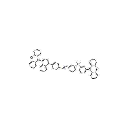 CC1(C)c2cc(/C=C/C3=CC=C(c4ccc(N5c6ccccc6Oc6ccccc65)c5ccccc45)CC3)ccc2-c2ccc(N3c4ccccc4Oc4ccccc43)cc21